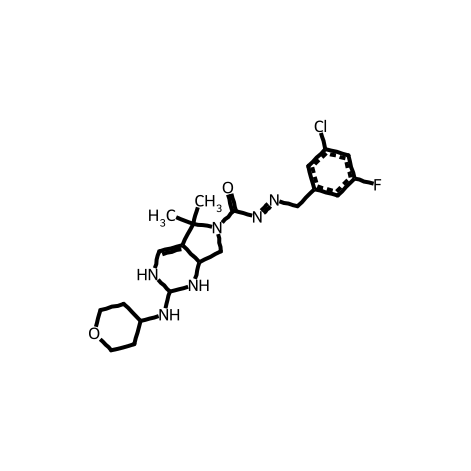 CC1(C)C2=CNC(NC3CCOCC3)NC2CN1C(=O)N=NCc1cc(F)cc(Cl)c1